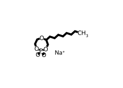 CCCCCCCCC1COP(=O)([O-])OCCO1.[Na+]